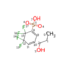 CCCO.O=S(=O)(O)C1=CC=CC(F)(F)C1(F)F